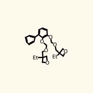 CCC1(COCOc2cccc(-c3ccccc3)c2OCOCC2(CC)COC2)COC1